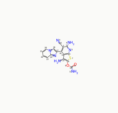 N#Cc1c(N)nc2sc(OC(N)=O)c(N)c2c1-c1cn2ccccc2n1